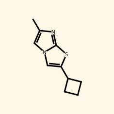 Cc1cn2cc(C3CCC3)sc2n1